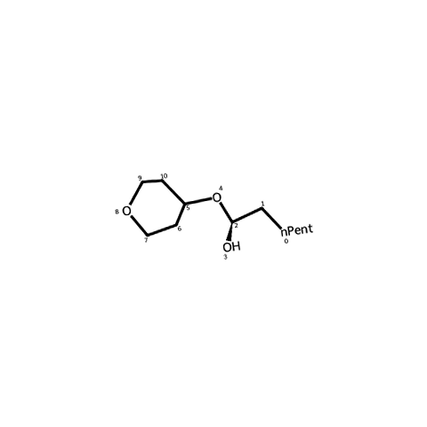 CCCCCC[C@@H](O)OC1CCOCC1